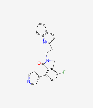 O=C1c2c(-c3ccncc3)ccc(F)c2CN1CCc1ccc2ccccc2n1